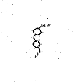 [N-]=[N+]=Nc1ccc(Sc2ccc(N=[N+]=[N-])cc2)cc1